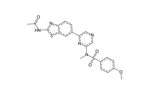 COc1ccc(S(=O)(=O)N(C)c2cncc(-c3ccc4nc(NC(C)=O)sc4c3)n2)cc1